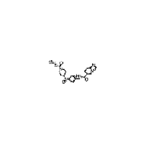 CC(C)(C)OC(=O)N1CCC([S+]([O-])c2ccc(CNC(=O)c3ccc4nccn4c3)cc2)CC1